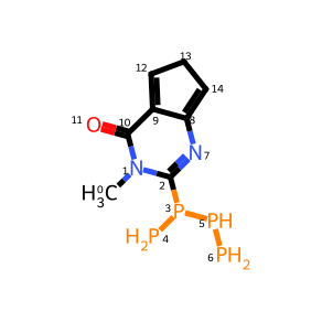 Cn1c(P(P)PP)nc2c(c1=O)=CCC=2